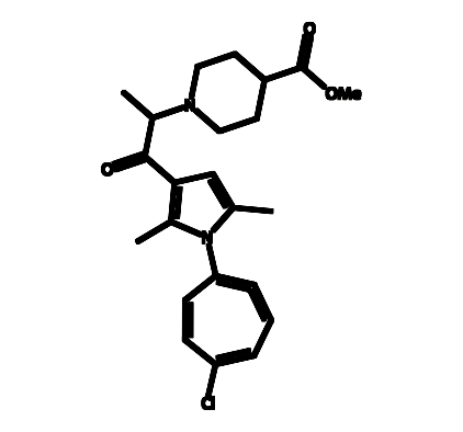 COC(=O)C1CCN(C(C)C(=O)c2cc(C)n(C3=C=CC=C(Cl)C=C3)c2C)CC1